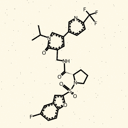 CC(C)n1cc(-c2ccc(C(F)(F)F)nc2)cc(CNC(=O)[C@@H]2CCCN2S(=O)(=O)c2cc3cc(F)ccc3o2)c1=O